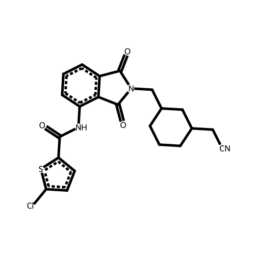 N#CCC1CCCC(CN2C(=O)c3cccc(NC(=O)c4ccc(Cl)s4)c3C2=O)C1